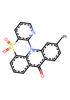 CC(C)c1ccc2c(=O)c3cccc4c3n(c2c1)-c1ncccc1S4(=O)=O